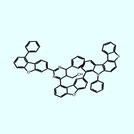 CCC1C(c2cccc3oc4ccc(-c5cccc6c7c8c(ccc7n(-c7ccccc7)c56)sc5ccccc58)cc4c23)=NC(c2ccc3c(c2)oc2cccc(-c4ccccc4)c23)=NC1c1ccccc1